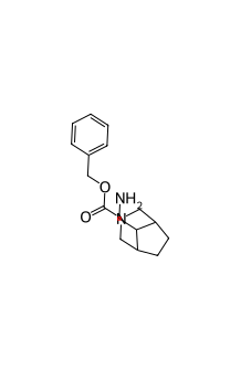 NCC1C2CCC1CN(C(=O)OCc1ccccc1)C2